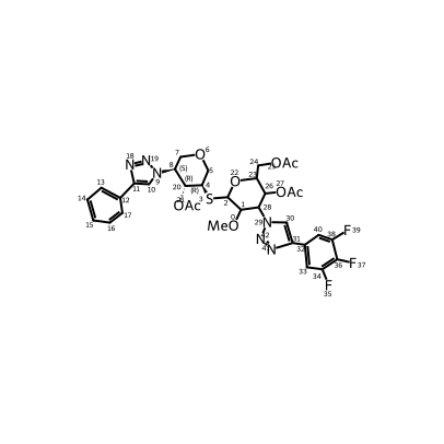 COC1C(S[C@@H]2COC[C@H](n3cc(-c4ccccc4)nn3)[C@H]2OC(C)=O)OC(COC(C)=O)C(OC(C)=O)C1n1cc(-c2cc(F)c(F)c(F)c2)nn1